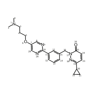 CN(C)CCCOc1cnc(-c2cccc(Cn3nc(C4CC4)ccc3=O)c2)nc1